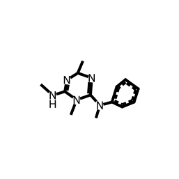 CNC1=NC(C)N=C(N(C)c2ccccc2)N1C